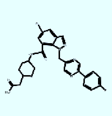 O=C(O)CC1CCC(NC(=O)c2cc(Cl)cc3cnn(Cc4cnc(-c5ccc(F)cc5)cn4)c23)CC1